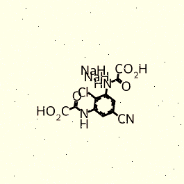 N#Cc1cc(NC(=O)C(=O)O)c(Cl)c(NC(=O)C(=O)O)c1.[NaH].[NaH]